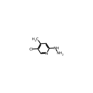 Cc1cc(NN)ncc1Cl